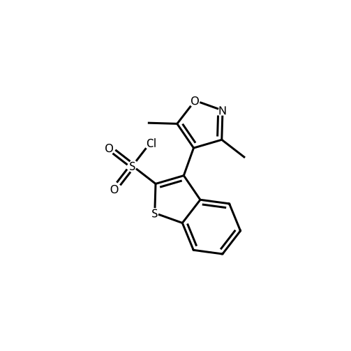 Cc1noc(C)c1-c1c(S(=O)(=O)Cl)sc2ccccc12